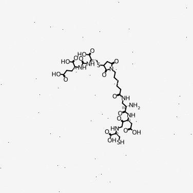 N[C@@H](CNC(=O)CCCCCN1C(=O)CC(SC[C@H](NC(=O)N[C@@H](CCC(=O)O)C(=O)O)C(=O)O)C1=O)C(=O)N[C@@H](CC(=O)O)C(=O)CN[C@@H](CS)C(=O)O